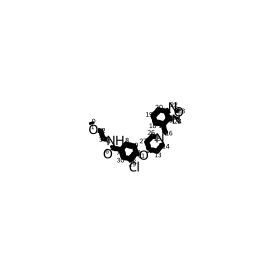 COCCNC(=O)c1ccc(OC2CCN(Cc3cccc4nonc34)CC2)c(Cl)c1